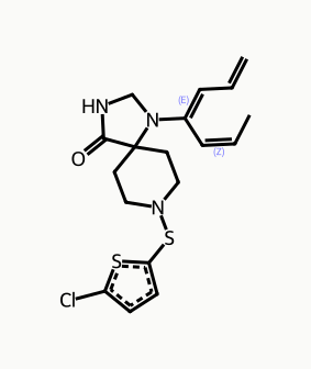 C=C/C=C(\C=C/C)N1CNC(=O)C12CCN(Sc1ccc(Cl)s1)CC2